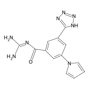 NC(N)=NC(=O)c1cc(-c2nnn[nH]2)cc(-n2cccc2)c1